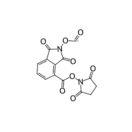 O=[C]ON1C(=O)c2cccc(C(=O)ON3C(=O)CCC3=O)c2C1=O